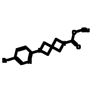 CC(C)(C)OC(=O)N1CC2(C1)CN(c1ccc(Br)cn1)C2